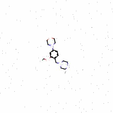 C[C@@H]1CN(Cc2ccc(N3CCOCC3)cc2OCF)CCN1